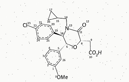 COc1cccc([C@H]2O[C@@H](CC(=O)O)C(=O)N(CC3CC3)[C@@H]2c2ccc(Cl)cc2)c1